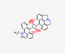 CN(C)c1c2cccc(O)c2c(C2C(O)C(c3c4c(O)ccc5c4c4c6c(ccc(O)c36)CCN4CC5)C2O)c2c(O)cccc12